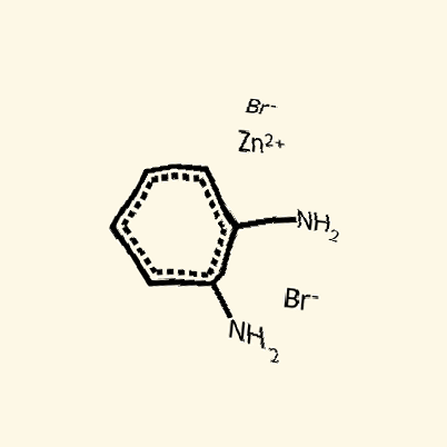 Nc1ccccc1N.[Br-].[Br-].[Zn+2]